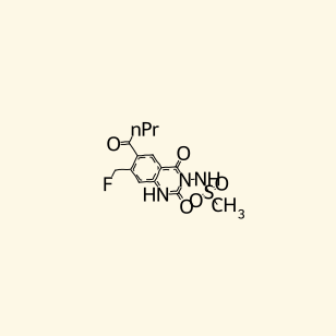 CCCC(=O)c1cc2c(=O)n(NS(C)(=O)=O)c(=O)[nH]c2cc1CF